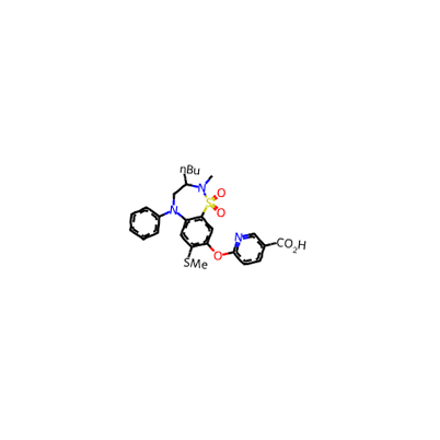 CCCCC1CN(c2ccccc2)c2cc(SC)c(Oc3ccc(C(=O)O)cn3)cc2S(=O)(=O)N1C